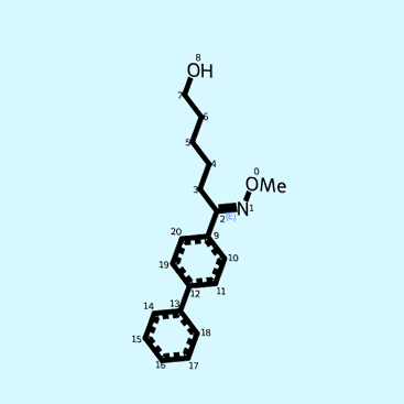 CO/N=C(\CCCCCO)c1ccc(-c2ccccc2)cc1